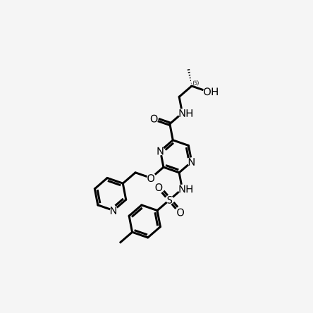 Cc1ccc(S(=O)(=O)Nc2ncc(C(=O)NC[C@H](C)O)nc2OCc2cccnc2)cc1